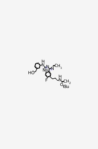 C=C/N=C(\N=C(/N)Nc1cccc(CO)c1)c1ccc(F)c(CCCNC(=C)OC(C)(C)C)c1